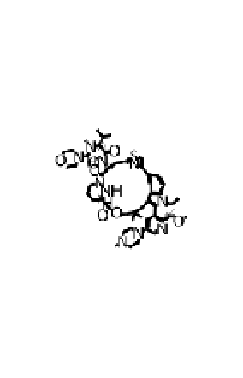 CCn1c(-c2cc(N3CCN(C)CC3)cnc2[C@H](C)OC)c2c3cc(ccc31)-c1csc(n1)C[C@H](NC(=O)[C@H](C(C)C)N(C)C(=O)N1CCOCC1)C(=O)N1CCC[C@H](N1)C(=O)OCC(C)(C)C2